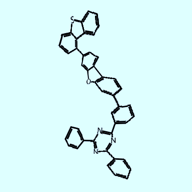 c1ccc(-c2nc(-c3ccccc3)nc(-c3cccc(-c4ccc5c(c4)oc4cc(-c6cccc7sc8ccccc8c67)ccc45)c3)n2)cc1